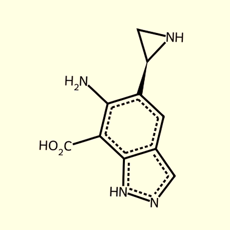 Nc1c([C@H]2CN2)cc2cn[nH]c2c1C(=O)O